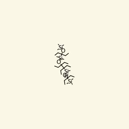 CCC(CC)(O[Si](C)(C)C(CC)(CC)O[Si](C)(C)C)C(CC)(CC)[SiH](C)OC(CC)(CC)[Si](C)(C)C